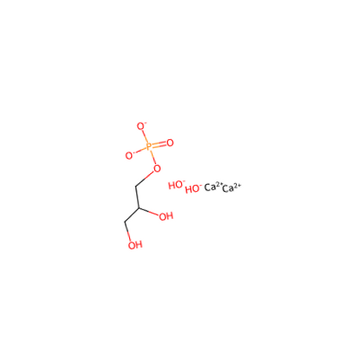 O=P([O-])([O-])OCC(O)CO.[Ca+2].[Ca+2].[OH-].[OH-]